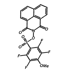 COc1c(F)c(F)c(S(=O)(=O)ON2C(=O)c3cccc4cccc(c34)C2=O)c(F)c1F